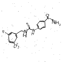 NC(=O)c1ccc(NC(=S)NCc2cc(F)cc(C(F)(F)F)c2)cc1